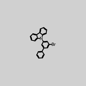 Brc1cc(-c2ccccc2)cc(-n2c3ccccc3c3ccccc32)c1